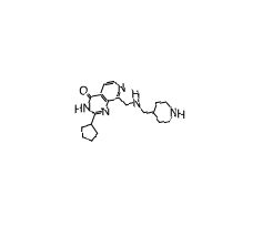 O=c1[nH]c(C2CCCC2)nc2c(CNCC3CCNCC3)nccc12